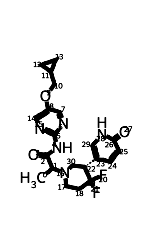 CC(C(=O)Nc1ncc(OCC2CC2)cn1)N1CCC(F)(F)[C@@H](c2ccc(=O)[nH]c2)C1